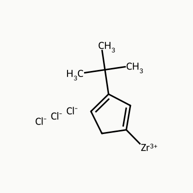 CC(C)(C)C1=CC[C]([Zr+3])=C1.[Cl-].[Cl-].[Cl-]